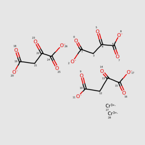 O=C([O-])CC(=O)C(=O)[O-].O=C([O-])CC(=O)C(=O)[O-].O=C([O-])CC(=O)C(=O)[O-].[Cr+3].[Cr+3]